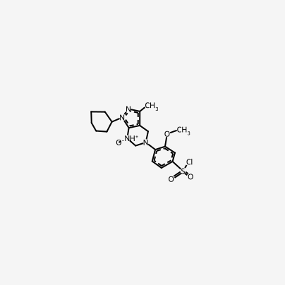 COc1cc(S(=O)(=O)Cl)ccc1N1Cc2c(C)nn(C3CCCCC3)c2[NH+]([O-])C1